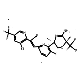 C[C@@]1(c2nc(/C=C(\F)c3ncc(C(F)(F)F)cc3Cl)ccc2F)CO[C@@](C)(C(F)(F)F)C(N)=N1